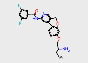 CC(C)C[C@H](N)COc1ccc2c(c1)OCc1cnc(NC(=O)c3cc(F)cc(F)c3)cc1-2